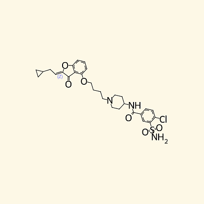 NS(=O)(=O)c1cc(C(=O)NC2CCN(CCCCOc3cccc4c3C(=O)/C(=C/CC3CC3)O4)CC2)ccc1Cl